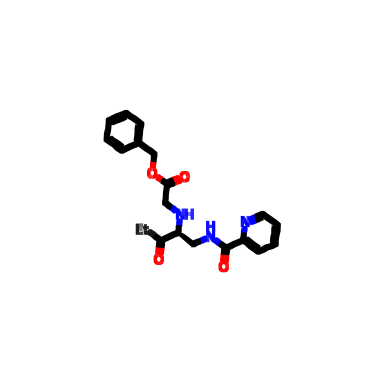 CCC(=O)[C@H](CNC(=O)c1ccccn1)NCC(=O)OCc1ccccc1